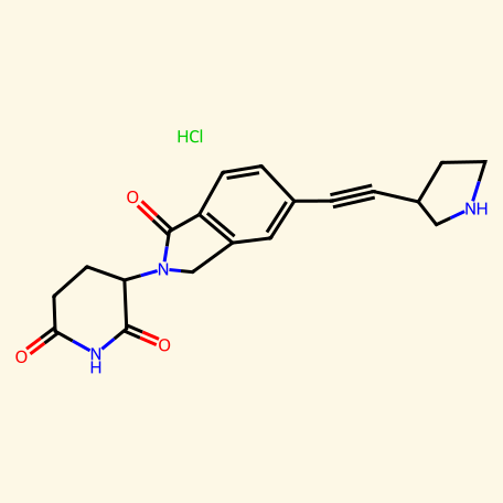 Cl.O=C1CCC(N2Cc3cc(C#CC4CCNC4)ccc3C2=O)C(=O)N1